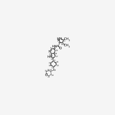 Cc1[nH]nc(C(=O)Nc2cnc3[nH]c(-c4ccc(CC5CCOCC5)cc4)cc3c2)c1C